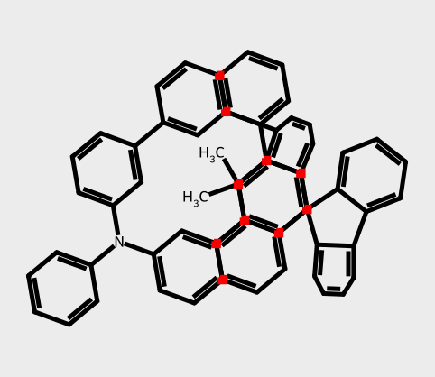 CC1(C)c2ccccc2C2(c3ccccc3-c3ccccc32)c2cccc(-c3cccc(-c4cccc(N(c5ccccc5)c5cccc(-c6cccc(-c7ccccc7)c6)c5)c4)c3)c21